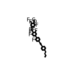 C=CCCc1ccc(C#Cc2ccc(-c3cc(F)c(C(F)(F)Oc4cc(F)c(OC(F)(F)F)c(F)c4)c(F)c3)c(F)c2)cc1